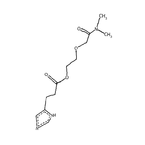 CN(C)C(=O)COCCOC(=O)CCc1cnc[nH]1